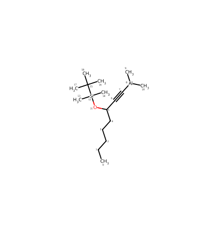 CCCCCC(C#[C][Al]([CH3])[CH3])O[Si](C)(C)C(C)(C)C